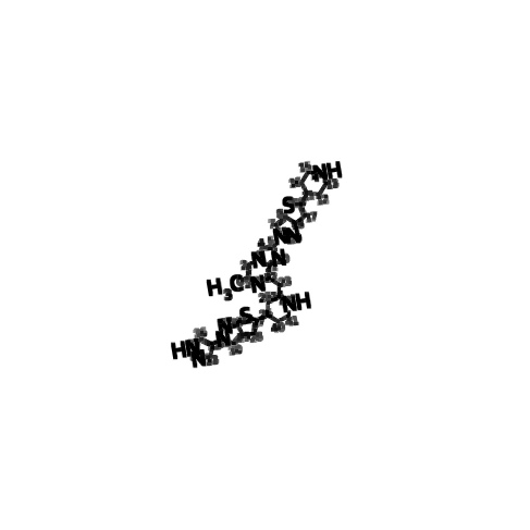 Cc1cn2cc(-n3cc4sc(C5CCNCC5)cc4n3)nc2c(CC2CC(c3cc4cn(-c5cn[nH]c5)nc4s3)CCN2)n1